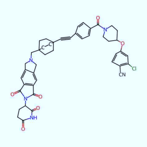 N#Cc1ccc(OC2CCN(C(=O)c3ccc(C#CC45CCC(CN6Cc7cc8c(cc7C6)C(=O)N(C6CCC(=O)NC6=O)C8=O)(CC4)CC5)cc3)CC2)cc1Cl